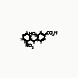 O=C(O)c1ccc(Cc2ccccc2[N+](=O)[O-])c(O)c1